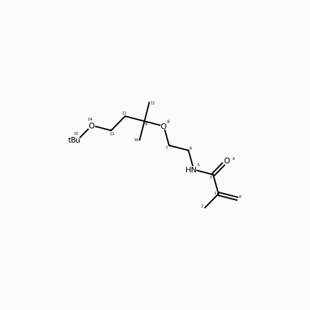 C=C(C)C(=O)NCCOC(C)(C)CCOC(C)(C)C